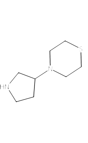 C1CC(N2CCSCC2)CN1